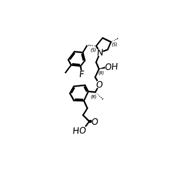 Cc1ccc(C[C@@H]2C[C@H](C)CN2C[C@@H](O)CO[C@H](C)c2ccccc2CCC(=O)O)cc1F